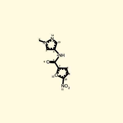 Cn1cc(NC(=O)c2ccc([N+](=O)[O-])o2)cn1